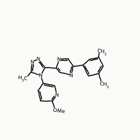 COc1ccc(-n2c(C)nnc2-c2cnc(-c3cc(C)cc(C)c3)cn2)cn1